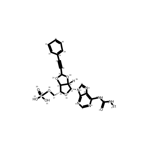 CCNC(=O)Nc1ncnc2c1ncn2[C@@H]1O[C@H](COP(=O)(O)O)C2OC(C#Cc3ccccc3)O[C@@H]21